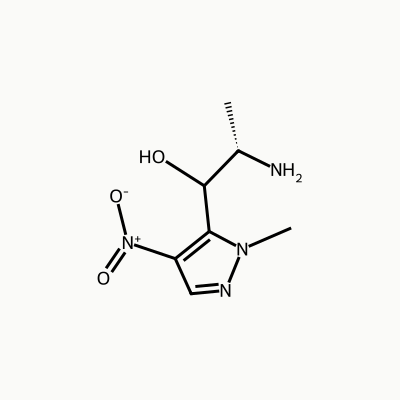 C[C@H](N)C(O)c1c([N+](=O)[O-])cnn1C